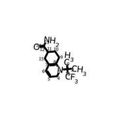 CC(C)(N1CC=CC2=C1CCC(C(N)=O)C2)C(F)(F)F